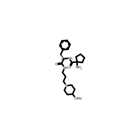 COC1CCN(CCCNC(=O)[C@@H](Cc2ccccc2)NC(=O)C2(N)CCCC2)CC1